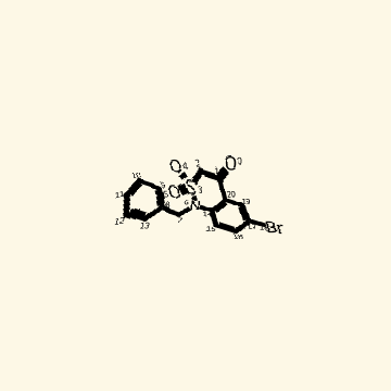 O=C1CS(=O)(=O)N(Cc2ccccc2)c2ccc(Br)cc21